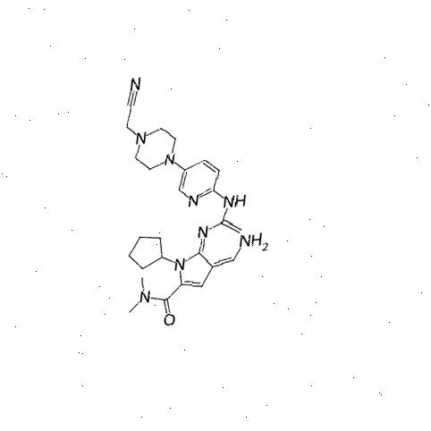 C=C(/N=C1\C(=C/N)C=C(C(=O)N(C)C)N1C1CCCC1)Nc1ccc(N2CCN(CC#N)CC2)cn1